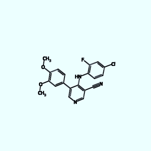 COc1ccc(-c2cncc(C#N)c2Nc2ccc(Cl)cc2F)cc1OC